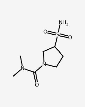 CN(C)C(=O)N1CCC(S(N)(=O)=O)C1